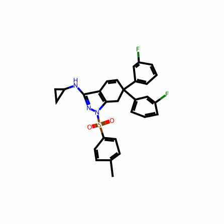 Cc1ccc(S(=O)(=O)n2nc(NC3CC3)c3c2CC(c2cccc(F)c2)(c2cccc(F)c2)C=C3)cc1